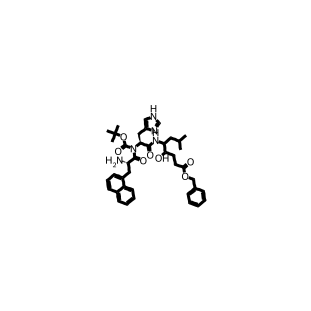 CC(C)CC(NC(=O)[C@H](Cc1c[nH]cn1)N(C(=O)OC(C)(C)C)C(=O)[C@@H](N)Cc1cccc2ccccc12)C(O)CCC(=O)OCc1ccccc1